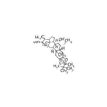 CC[C@H]1[C@@H](O)[C@@H]2[C@H](CC[C@]3(C)[C@@H]([C@H](C)C(=O)O)CC[C@@H]23)[C@@]2(C)CCC(O[Si](C)(C)C(C)(C)C)C[C@@H]12